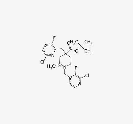 C[C@@H]1CC(Cc2nc(Cl)ccc2F)(C(=O)OC(C)(C)C)CCN1Cc1cccc(Cl)c1F